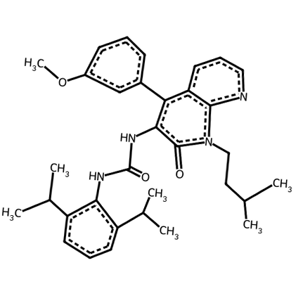 COc1cccc(-c2c(NC(=O)Nc3c(C(C)C)cccc3C(C)C)c(=O)n(CCC(C)C)c3ncccc23)c1